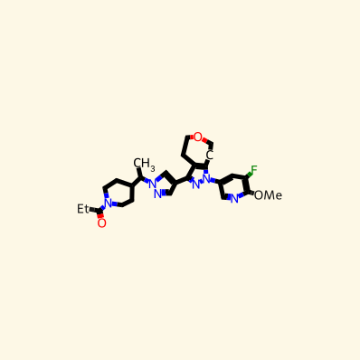 CCC(=O)N1CCC(C(C)n2cc(-c3nn(-c4cnc(OC)c(F)c4)c4c3CCOCC4)cn2)CC1